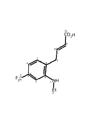 CCNc1cc(C(F)(F)F)ccc1CC=CC(=O)O